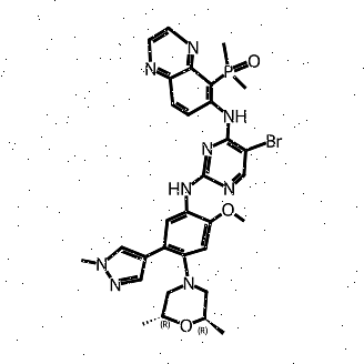 COc1cc(N2C[C@@H](C)O[C@H](C)C2)c(-c2cnn(C)c2)cc1Nc1ncc(Br)c(Nc2ccc3nccnc3c2P(C)(C)=O)n1